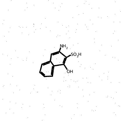 Nc1cc2ccccc2c(O)c1S(=O)(=O)O